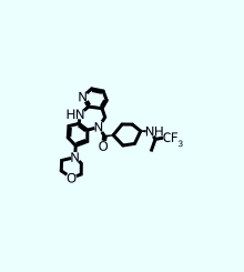 CC(N[C@H]1CC[C@@H](C(=O)N2Cc3cccnc3Nc3ccc(N4CCOCC4)cc32)CC1)C(F)(F)F